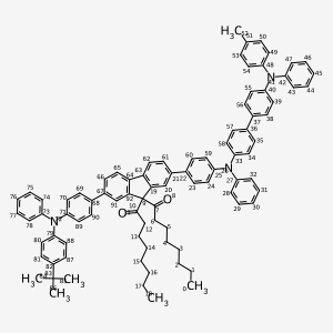 CCCCCCCC(=O)C1(C(=O)CCCCCCC)c2cc(-c3ccc(N(c4ccccc4)c4ccc(-c5ccc(N(c6ccccc6)c6ccc(C)cc6)cc5)cc4)cc3)ccc2-c2ccc(-c3ccc(N(c4ccccc4)c4ccc(C(C)(C)C)cc4)cc3)cc21